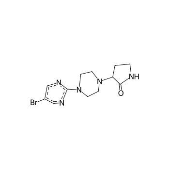 O=C1NCCC1N1CCN(c2ncc(Br)cn2)CC1